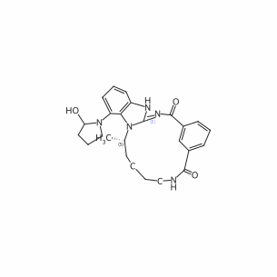 C[C@H]1CCCCNC(=O)c2cccc(c2)C(=O)/N=C2\Nc3cccc(N4CCCC4O)c3N21